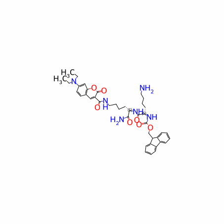 CCN(CC)c1ccc2cc(C(=O)NCCCC[C@H](NC(=O)[C@H](CCCCN)NC(=O)OCC3c4ccccc4-c4ccccc43)C(N)=O)c(=O)oc2c1